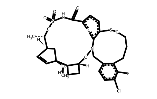 COC12C=C[C@H](C1)[C@H](C)CS(=O)(=O)NC(=O)c1ccc3c(c1)N(Cc1ccc(Cl)c(F)c1CCCCS3)C[C@@H]1CC[C@H]12